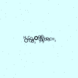 COOOSC(=C(F)F)S(=O)(=O)Oc1ccc(C(=O)OC(C)(C)C2CCCCC2)cc1